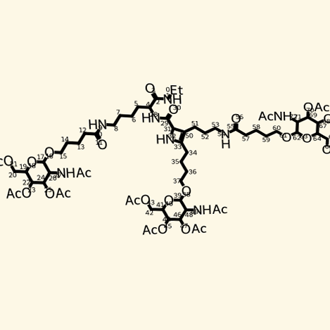 CCNC(=O)C(CCCCNC(=O)CCCCOC1OC(COC(C)=O)C(OC(C)=O)C(OC(C)=O)C1NC(C)=O)NC(=O)C1NC(CCCCOC2OC(COC(C)=O)C(OC(C)=O)C(OC(C)=O)C2NC(C)=O)=C1CCCNC(=O)CCCCOC1OC(COC(C)=O)C(OC(C)=O)C(OC(C)=O)C1NC(C)=O